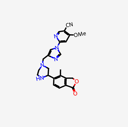 COc1cc(-n2cnc(CN3CCNC(c4ccc5c(c4C)COC5=O)C3)c2)ncc1C#N